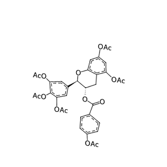 CC(=O)Oc1ccc(C(=O)O[C@H]2Cc3c(OC(C)=O)cc(OC(C)=O)cc3O[C@@H]2c2cc(OC(C)=O)c(OC(C)=O)c(OC(C)=O)c2)cc1